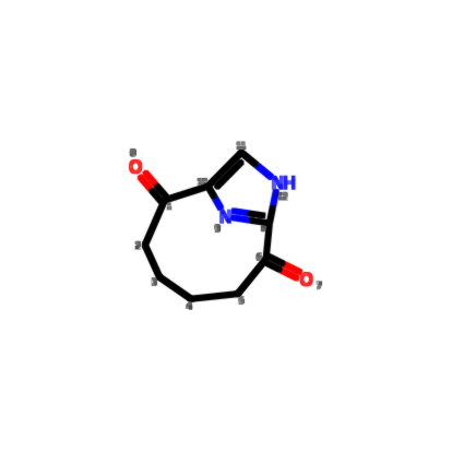 O=C1CCCCC(=O)c2nc1c[nH]2